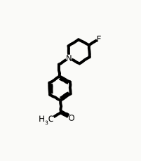 CC(=O)c1ccc(CN2CCC(F)CC2)cc1